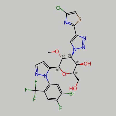 CO[C@@H]1[C@@H](n2cc(-c3nc(Cl)cs3)nn2)[C@@H](O)[C@@H](CO)O[C@H]1c1ccnn1-c1cc(Br)c(F)cc1C(F)(F)F